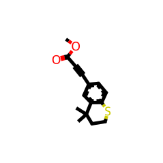 COC(=O)C#Cc1ccc2c(c1)C(C)(C)CCS2